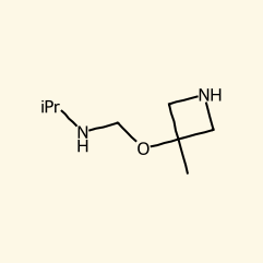 CC(C)NCOC1(C)CNC1